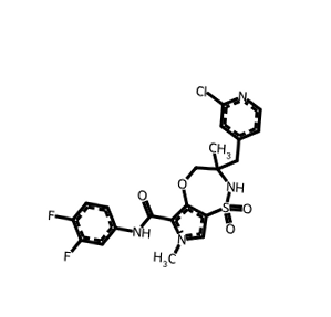 Cn1cc2c(c1C(=O)Nc1ccc(F)c(F)c1)OCC(C)(Cc1ccnc(Cl)c1)NS2(=O)=O